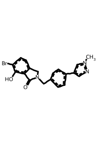 Cn1cc(-c2ccc(CN3Cc4ccc(Br)c(O)c4C3=O)cc2)cn1